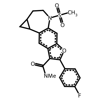 CNC(=O)c1c(-c2ccc(F)cc2)oc2cc3c(cc12)C1CC1CCN3S(C)(=O)=O